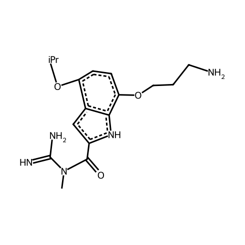 CC(C)Oc1ccc(OCCCN)c2[nH]c(C(=O)N(C)C(=N)N)cc12